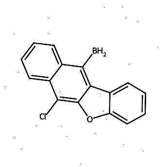 Bc1c2ccccc2c(Cl)c2oc3ccccc3c12